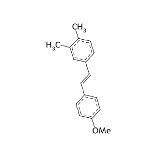 COc1ccc(/C=C/c2ccc(C)c(C)c2)cc1